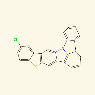 Clc1ccc2sc3cc4c5cccc6c7ccccc7n(c4cc3c2c1)c65